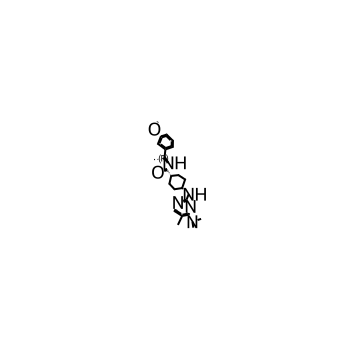 COc1cccc([C@@H](C)NC(=O)[C@H]2CC[C@@H](Nc3ncc(C)c(N(C)C)n3)CC2)c1